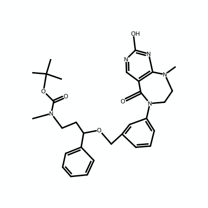 CN(CCC(OCc1cccc(N2CCN(C)c3nc(O)ncc3C2=O)c1)c1ccccc1)C(=O)OC(C)(C)C